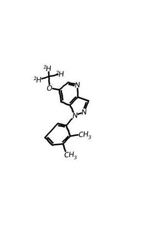 [2H]C([2H])([2H])Oc1cnc2cnn(-c3cccc(C)c3C)c2c1